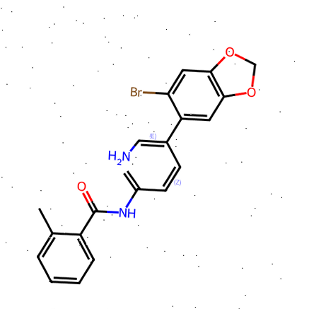 C=C(/C=C\C(=C/N)c1cc2c(cc1Br)OCO2)NC(=O)c1ccccc1C